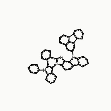 c1ccc(-n2c3ccccc3c3c2c2ccccc2c2nc4c5c(ccc4n23)c2ccccc2n5-c2cc3c4c(cccc4c2)-c2ccccc2-3)cc1